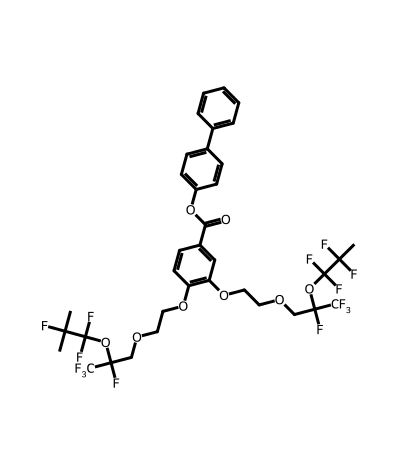 CC(C)(F)C(F)(F)OC(F)(COCCOc1ccc(C(=O)Oc2ccc(-c3ccccc3)cc2)cc1OCCOCC(F)(OC(F)(F)C(C)(F)F)C(F)(F)F)C(F)(F)F